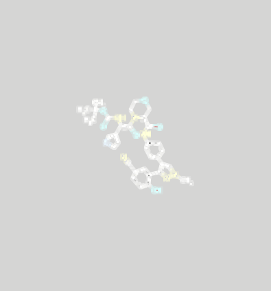 Cn1cc(-c2ccc(NC(=O)[C@@H]3COCCN3C(=O)[C@H](NC(=O)OC(C)(C)C)c3ccsc3)cc2)c(-c2cc(C#N)ccc2O)n1